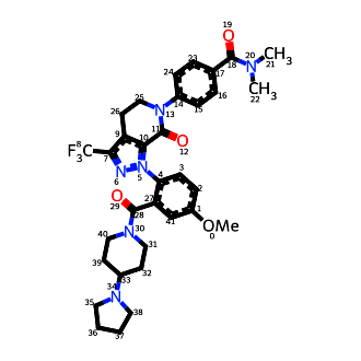 COc1ccc(-n2nc(C(F)(F)F)c3c2C(=O)N(c2ccc(C(=O)N(C)C)cc2)CC3)c(C(=O)N2CCC(N3CCCC3)CC2)c1